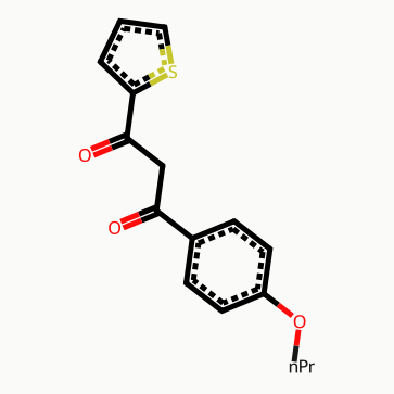 CCCOc1ccc(C(=O)CC(=O)c2cccs2)cc1